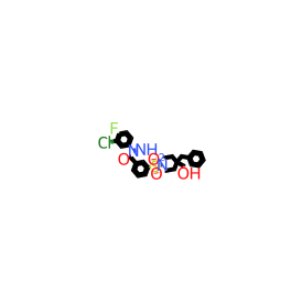 NN(C(=O)c1cccc(S(=O)(=O)N2CCC(CO)(Cc3ccccc3)CC2)c1)c1ccc(F)c(Cl)c1